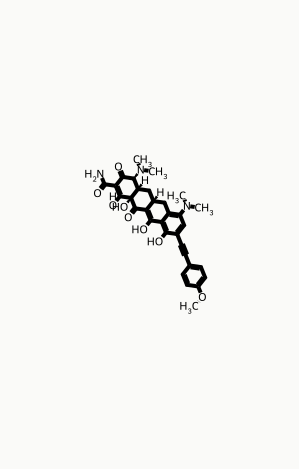 COc1ccc(C#Cc2cc(N(C)C)c3c(c2O)C(O)=C2C(=O)[C@]4(O)C(O)=C(C(N)=O)C(=O)[C@@H](N(C)C)[C@@H]4C[C@@H]2C3)cc1